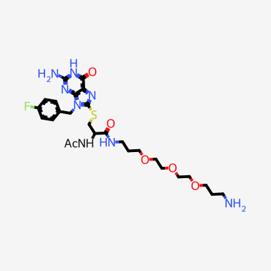 CC(=O)NC(CSc1nc2c(=O)[nH]c(N)nc2n1Cc1ccc(F)cc1)C(=O)NCCCOCCOCCOCCCN